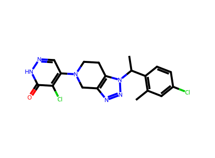 Cc1cc(Cl)ccc1C(C)n1nnc2c1CCN(c1cn[nH]c(=O)c1Cl)C2